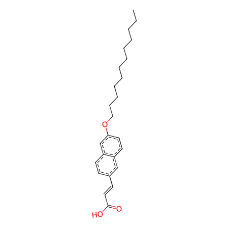 CCCCCCCCCCCCOc1ccc2cc(C=CC(=O)O)ccc2c1